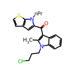 CCCn1c(C(=O)c2c(C)n(CCCCl)c3ccccc23)cc2ccsc21